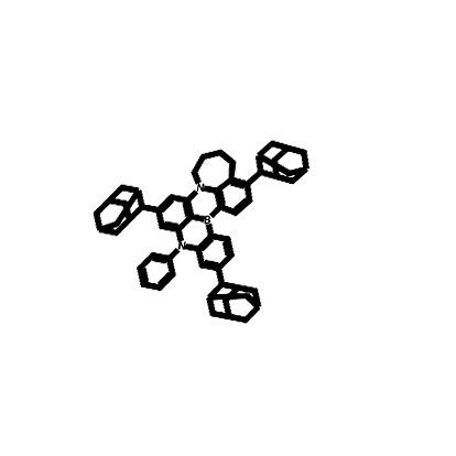 c1ccc(N2c3cc(C4C5CC6CC(C5)CC4C6)ccc3B3c4ccc(C5C6CC7CC(C6)CC5C7)c5c4N(CCCC5)c4cc(C5C6CC7CC(C6)CC5C7)cc2c43)cc1